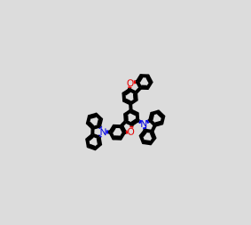 c1ccc2c(c1)oc1ccc(-c3cc(-n4c5ccccc5c5ccccc54)c4oc5ccc(-n6c7ccccc7c7ccccc76)cc5c4c3)cc12